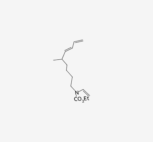 C=C/C=C/C(C)CCCCN(C=C)C(=O)OCC